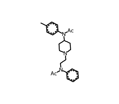 CC(=O)N(CCN1CCC(N(C(C)=O)c2ccc(C)cc2)CC1)c1ccccc1